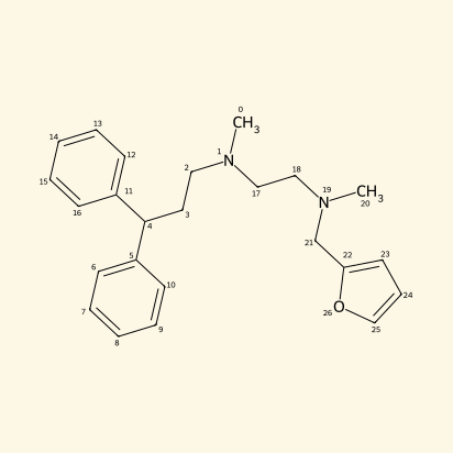 CN(CCC(c1ccccc1)c1ccccc1)CCN(C)Cc1ccco1